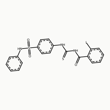 O=C(NC(=S)Nc1ccc(S(=O)(=O)Nc2ccccc2)cc1)c1ccccc1I